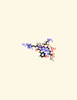 C[C@@H](O)[C@H](N)C(=O)N[C@@H](CO)C(=O)N[C@@H](CCCCN)C(=O)N[C@@H](Cc1ccc(O)cc1)C(=O)N[C@@H](CCCN=C(N)N)C(=O)O